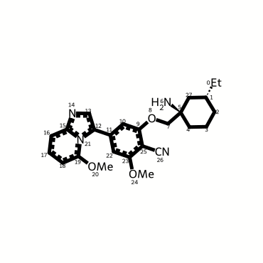 CC[C@@H]1CCC[C@](N)(COc2cc(-c3cnc4cccc(OC)n34)cc(OC)c2C#N)C1